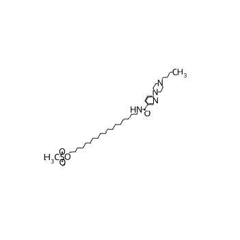 CCCCN1CCN(c2ccc(C(=O)NCCCCCCCCCCCCCCCCCCOS(C)(=O)=O)cn2)CC1